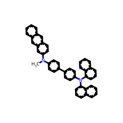 CN(c1ccc(-c2ccc(N(c3cccc4ccccc34)c3cccc4ccccc34)cc2)cc1)c1ccc2cc3ccccc3cc2c1